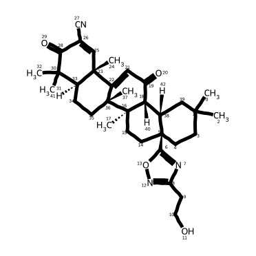 CC1(C)CC[C@]2(c3nc(CCO)no3)CC[C@]3(C)[C@H](C(=O)C=C4[C@@]5(C)C=C(C#N)C(=O)C(C)(C)[C@@H]5CC[C@]43C)[C@@H]2C1